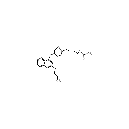 CCCCc1cc(OC2CCN(CCCCNC(C)=O)CC2)c2ncccc2c1